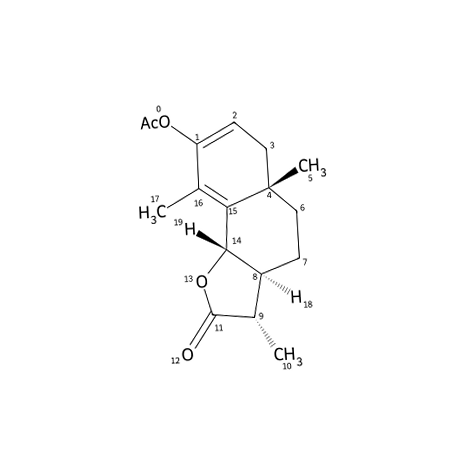 CC(=O)OC1=CC[C@]2(C)CC[C@H]3[C@H](C)C(=O)O[C@@H]3C2=C1C